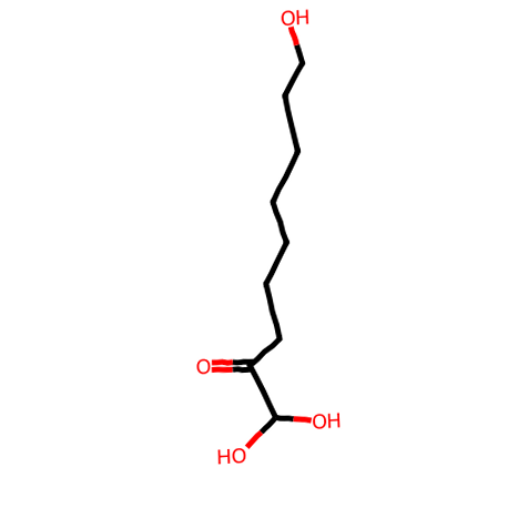 O=C(CCCCCCCO)C(O)O